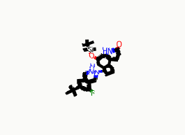 CC(C)(C)c1cc(F)c2c(c1)=CNN(c1cccc3c1CC(O[Si](C)(C)C(C)(C)C)Cc1[nH]c(=O)ccc1-3)C=2